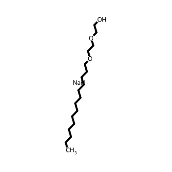 CCCCCCCCCCCCCCOCCOCCO.[NaH]